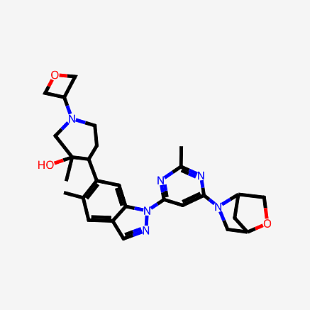 Cc1nc(N2CC3CC2CO3)cc(-n2ncc3cc(C)c(C4CCN(C5COC5)CC4(C)O)cc32)n1